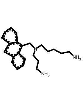 NCCCCCN(CCCN)Cc1c2ccccc2cc2ccccc12